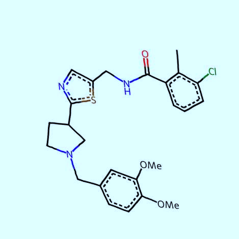 COc1ccc(CN2CCC(c3ncc(CNC(=O)c4cccc(Cl)c4C)s3)C2)cc1OC